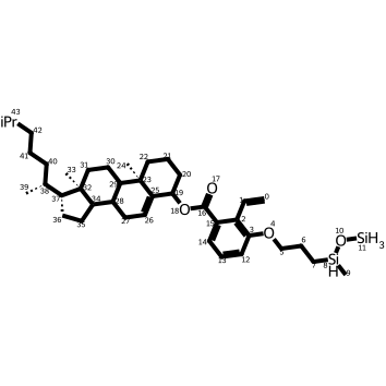 C=Cc1c(OCCC[SiH](C)O[SiH3])cccc1C(=O)OC1CCC[C@@]2(C)C1=CCC1C2CC[C@@]2(C)C1CC[C@@H]2[C@H](C)CCCC(C)C